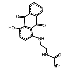 CCCC(=O)NCCNc1ccc(O)c2c1C(=O)c1ccccc1C2=O